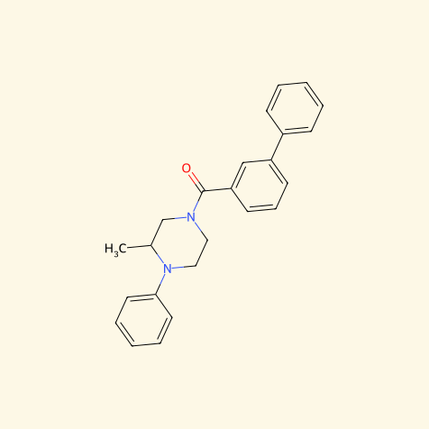 CC1CN(C(=O)c2cccc(-c3ccccc3)c2)CCN1c1ccccc1